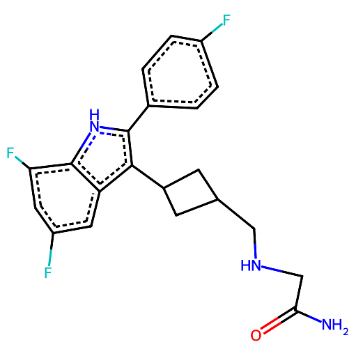 NC(=O)CNCC1CC(c2c(-c3ccc(F)cc3)[nH]c3c(F)cc(F)cc23)C1